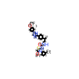 CCc1ccc(C(C)C)c(N2C(=O)CS/C2=N\C(=O)NCCC(C)c2ccc(-c3ncn(-c4ccc(OC(F)(F)F)cc4)n3)cc2)c1